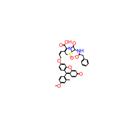 COc1ccc(-c2c3ccc(=O)cc-3oc3cc(OC/C=C\C4=C(C(=O)O)N5C(=O)C(NC(=O)Cc6ccccc6)C5[S+]([O-])C4)ccc23)c(C)c1